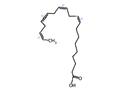 C/C=C\C/C=C\C/C=C\C/C=C\CCCCCCCC(=O)O